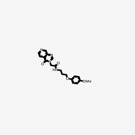 COc1ccc(OCCCNC(=O)Cn2cnc3cnccc3c2=O)cc1